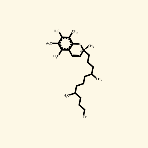 CC(=O)Oc1c(C)c(C)c2c(c1C)C=C[C@@](C)(CCCC(C)CCCC(C)CCCC(C)C)O2